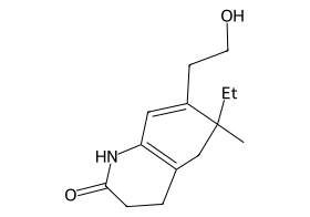 [CH2]CC1(C)CC2=C(C=C1CCO)NC(=O)CC2